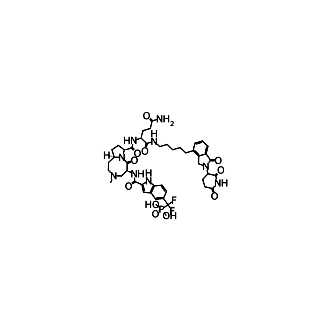 CN1CC[C@H]2CC[C@@H](C(=O)N[C@@H](CCC(N)=O)C(=O)NCCCCCc3cccc4c3CN(C3CCC(=O)NC3=O)C4=O)N2C(=O)[C@@H](NC(=O)c2cc3cc(C(F)(F)P(=O)(O)O)ccc3[nH]2)C1